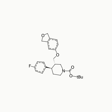 CC(C)(C)OC(=O)N1CC[C@@H](c2ccc(F)cc2)[C@H](COc2ccc3c(c2)COC3)C1